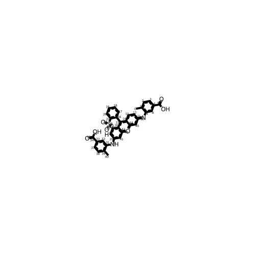 Cc1ccc(C(=O)O)cc1/N=c1\ccc2c(-c3ccccc3S(=O)(=O)O)c3ccc(Nc4cc(C(=O)O)ccc4C)cc3oc-2c1